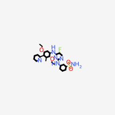 CCOc1cc(Nc2nc(Nc3cccc(S(N)(=O)=O)c3)ncc2F)c(OCC)c(C)c1-c1ccccn1